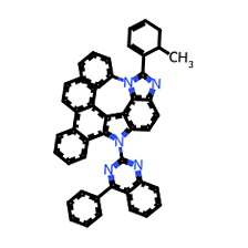 CC1CC=CC=C1c1nc2ccc3c(c4c5ccccc5c5ccccc5c4n3-c3nc(-c4ccccc4)c4ccccc4n3)c2n1-c1ccccc1